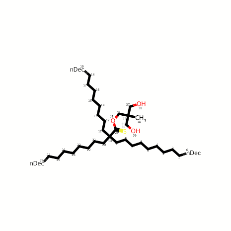 CCCCCCCCCCCCCCCCCCCC(CCCCCCCCCCCCCCCCCC)(CCCCCCCCCCCCCCCCCC)C(=S)OCC(C)(CO)CO